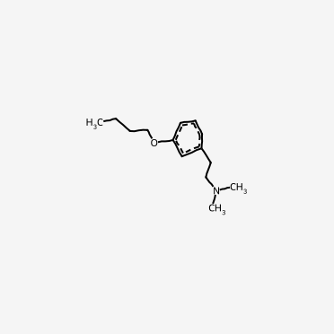 CCCCOc1cccc(CCN(C)C)c1